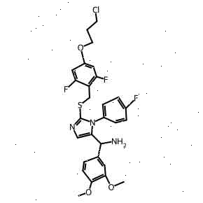 COc1ccc(C(N)c2cnc(SCc3c(F)cc(OCCCCl)cc3F)n2-c2ccc(F)cc2)cc1OC